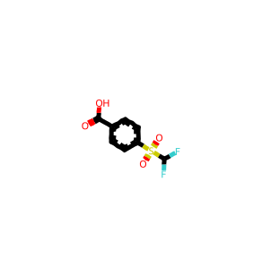 O=C(O)c1ccc(S(=O)(=O)C(F)F)cc1